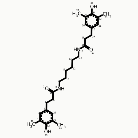 Cc1cc(CCC(=O)NCCCCCCNC(=O)CCc2cc(C)c(O)c(C)c2)cc(C)c1O